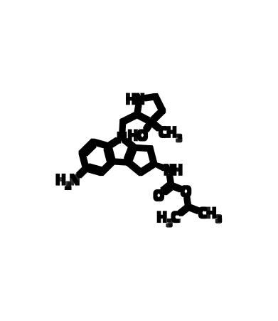 CC(C)OC(=O)N[C@H]1Cc2c(n(CC3NCCC3(C)O)c3ccc(N)cc23)C1